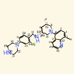 Cc1ccc(N2C[C@@H](C)C[C@@H](NCc3ccc(N4CCNCC4)cc3F)C2)c2cccnc12